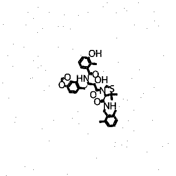 Cc1cccc(C)c1CNC(=O)[C@H]1N(C(=O)[C@@H](O)[C@H](Cc2ccc3c(c2)OCO3)NC(=O)c2cccc(O)c2C)CSC1(C)C